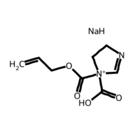 C=CCOC(=O)[N+]1(C(=O)O)C=NCC1.[NaH]